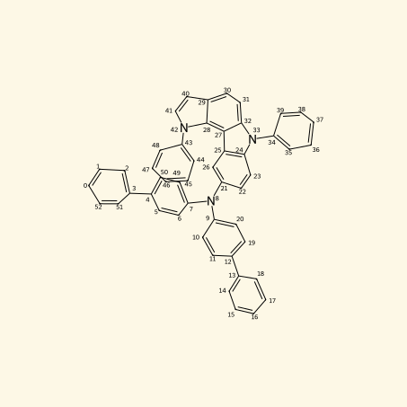 c1ccc(-c2ccc(N(c3ccc(-c4ccccc4)cc3)c3ccc4c(c3)c3c5c(ccc3n4-c3ccccc3)ccn5-c3ccccc3)cc2)cc1